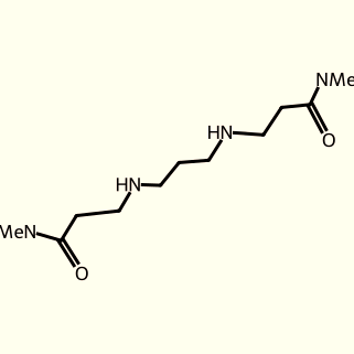 CNC(=O)CCNCCCNCCC(=O)NC